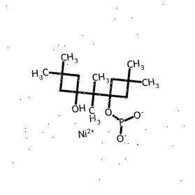 CC1(C)CC(O)(C(C)(C)C2(OP([O-])[O-])CC(C)(C)C2)C1.[Ni+2]